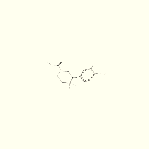 COc1ncc(C2CN(C(=O)OC(C)(C)C)CCC2(F)F)cc1Br